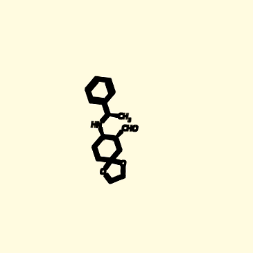 C[C@@H](N[C@@H]1CCC2(C[C@@H]1C=O)OCCO2)c1ccccc1